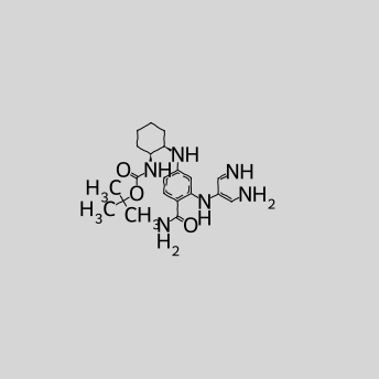 CC(C)(C)OC(=O)N[C@H]1CCCC[C@H]1Nc1ccc(C(N)=O)c(N/C(C=N)=C/N)c1